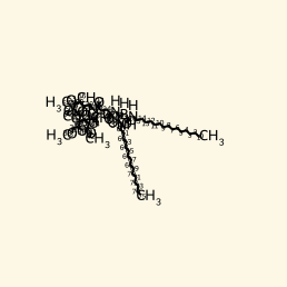 CCCCCCCCCCCCCCCCNC(=O)B[C@H](NC(=O)CCC(=O)NCC1O[C@H](O[C@@H]2C(COC)O[C@H](OC)C(OC)[C@H]2OC)C(OC)[C@@H](OC)[C@@H]1C)C(=O)NCCCCCCCCCCCCCCCC